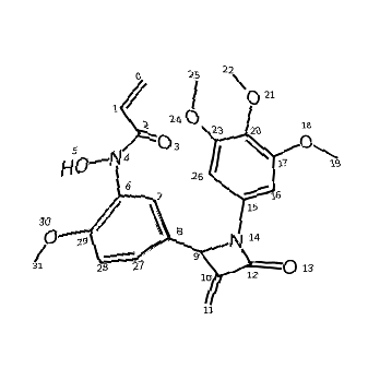 C=CC(=O)N(O)c1cc(C2C(=C)C(=O)N2c2cc(OC)c(OC)c(OC)c2)ccc1OC